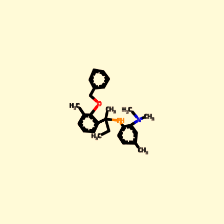 CCC(C)(Pc1ccc(C)cc1N(C)C)c1cccc(C)c1OCc1ccccc1